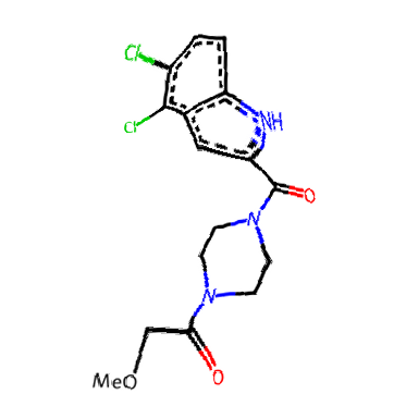 COCC(=O)N1CCN(C(=O)c2cc3c(Cl)c(Cl)ccc3[nH]2)CC1